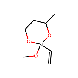 C=C[Si]1(OC)OCCC(C)O1